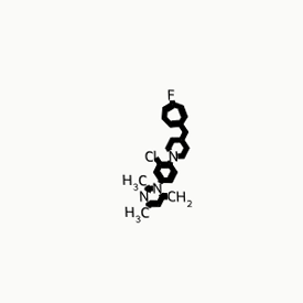 C=C1C=C(C)N=C(C)N1c1ccc(N2CCC(CC3=CCC=C(F)C=C3)CC2)c(Cl)c1